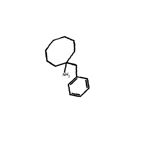 NC1(Cc2ccccc2)CCCCCCC1